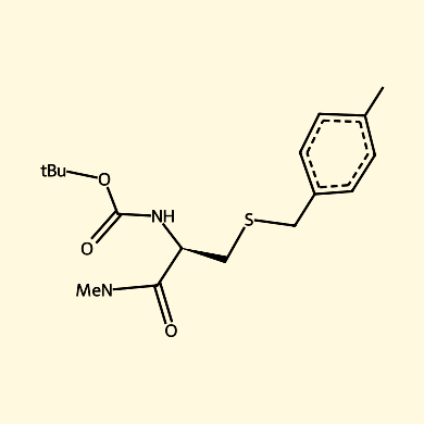 CNC(=O)[C@H](CSCc1ccc(C)cc1)NC(=O)OC(C)(C)C